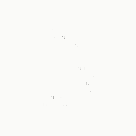 CNC(=O)c1ccc(Nc2cnc3c(c2)CCC(=O)N3)c([N+](=O)[O-])c1